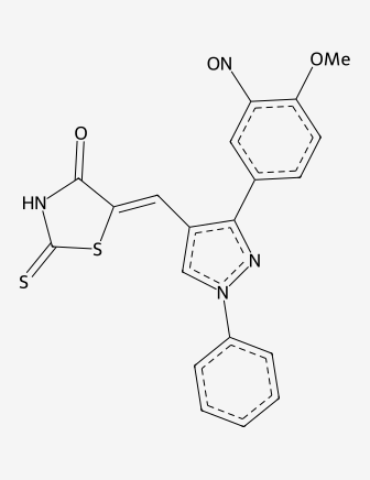 COc1ccc(-c2nn(-c3ccccc3)cc2/C=C2\SC(=S)NC2=O)cc1N=O